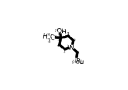 CCC(C)CN1CCC(C)(O)CC1